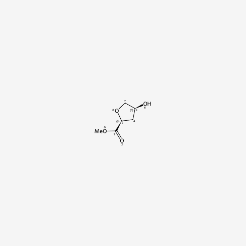 COC(=O)[C@@H]1C[C@H](O)CO1